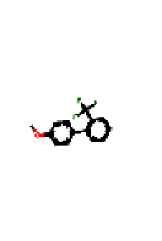 COc1ccc(-c2ccccc2C(F)(F)F)cc1